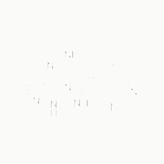 Fc1cncc(Cl)c1-c1ccc2nc(Nc3cc(CN4CCNCC4)ccn3)[nH]c2c1